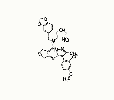 CCCN(Cc1ccc2c(c1)OCO2)c1c2c(nc3c(-c4ccc(OC)cc4Cl)c(C)nn13)COC2.Cl